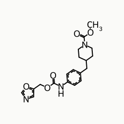 COC(=O)N1CCC(Cc2ccc(NC(=O)OCc3cnco3)cc2)CC1